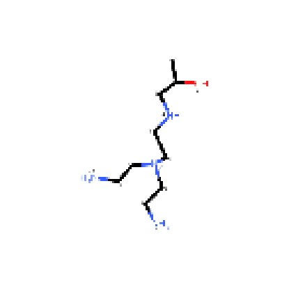 CC(O)CNCCN(CCN)CCN